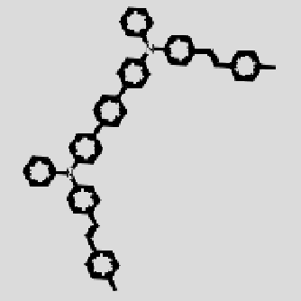 Cc1ccc(C=Cc2ccc(N(c3ccccc3)c3ccc(-c4ccc(-c5ccc(N(c6ccccc6)c6ccc(C=Cc7ccc(C)cc7)cc6)cc5)cc4)cc3)cc2)cc1